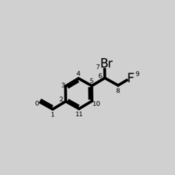 C=Cc1ccc(C(Br)CF)cc1